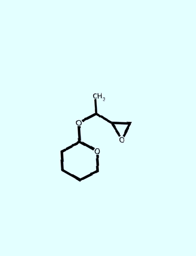 CC(OC1CCCCO1)C1CO1